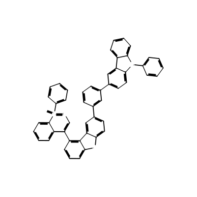 O=S1(c2ccccc2)=NC=C(c2cccc3oc4ccc(-c5cccc(-c6ccc7c(c6)c6ccccc6n7-c6ccccc6)c5)cc4c23)c2ccccc21